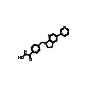 O=C(NO)c1ccc(CN2CCc3cc(-c4cccnc4)cnc32)cc1